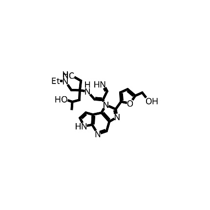 CCNCC(CC#N)(CC(C)O)N/C=C(\C=N)n1c(-c2ccc(CO)o2)nc2cnc3[nH]ccc3c21